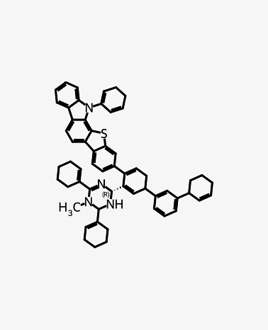 CN1C(C2=CCCCC2)=N[C@H](C2=CC(c3cccc(C4C=CCCC4)c3)CC=C2c2ccc3c(c2)sc2c3ccc3c4ccccc4n(C4=CCCC=C4)c32)NC1C1=CCCCC1